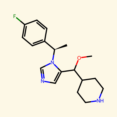 COC(c1cncn1[C@H](C)c1ccc(F)cc1)C1CCNCC1